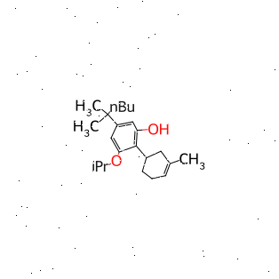 CCCCC(C)(C)c1cc(O)c(C2CCC=C(C)C2)c(OC(C)C)c1